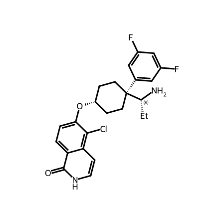 CC[C@@H](N)[C@]1(c2cc(F)cc(F)c2)CC[C@@H](Oc2ccc3c(=O)[nH]ccc3c2Cl)CC1